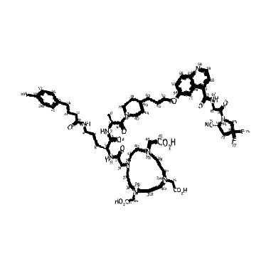 C[C@H](NC(=O)[C@H](CCCNC(=O)CCCc1ccc(I)cc1)NC(=O)CN1CCN(CC(=O)O)CCN(CC(=O)O)CCN(CC(=O)O)CC1)C(=O)N1CCC(CCCOc2ccc3nccc(C(=O)NCC(=O)N4CC(F)(F)C[C@@H]4C#N)c3c2)CC1